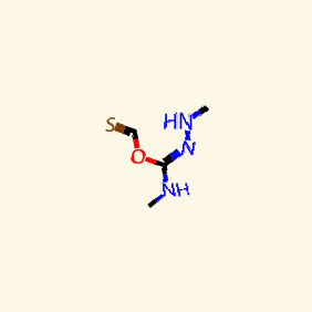 CN/N=C(/NC)OC=S